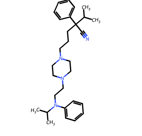 CC(C)N(CCN1CCN(CCCC(C#N)(c2ccccc2)C(C)C)CC1)c1ccccc1